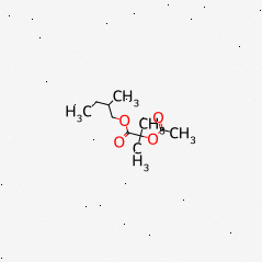 CCC(C)COC(=O)C(C)(C)OC(C)=O